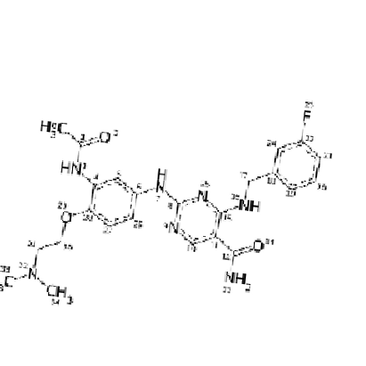 CC(=O)Nc1cc(Nc2ncc(C(N)=O)c(NCc3cccc(F)c3)n2)ccc1OCCN(C)C